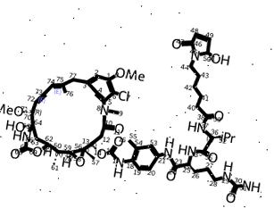 COc1cc2cc(c1Cl)N(C)C(=O)C[C@H](OC(=O)Nc1ccc(NC(=O)[C@H](CCCNC(N)=O)NC(=O)[C@@H](NC(=O)CCCCCN3C(=O)C=CC3O)C(C)C)cc1C)[C@]1(C)O[C@H]1[C@H](C)[C@@H]1C[C@@](O)(NC(=O)O1)[C@H](OC)/C=C/C=C(\C)C2